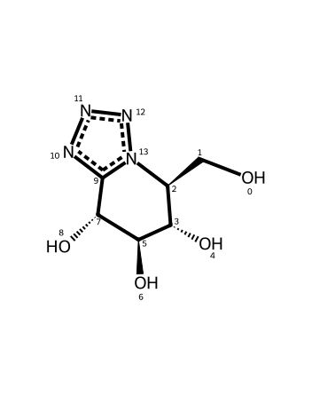 OC[C@H]1[C@H](O)[C@@H](O)[C@H](O)c2nnnn21